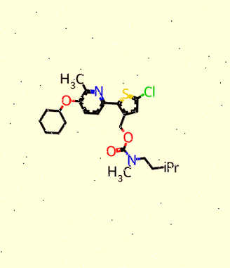 Cc1nc(-c2sc(Cl)cc2COC(=O)N(C)CCC(C)C)ccc1OC1CCCCC1